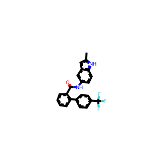 Cc1cc2cc(NC(=O)c3ccccc3-c3ccc(C(F)(F)F)cc3)ccc2[nH]1